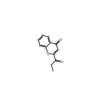 CCC(=O)c1cc(=O)c2ccccc2o1